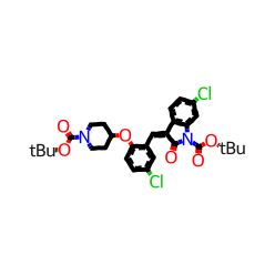 CC(C)(C)OC(=O)N1CCC(Oc2ccc(Cl)cc2C=C2C(=O)N(C(=O)OC(C)(C)C)c3cc(Cl)ccc32)CC1